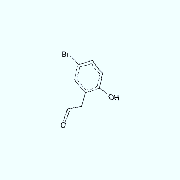 O=CCc1cc(Br)ccc1O